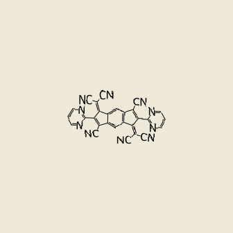 N#CC(C#N)=C1C(c2ncccn2)=C(C#N)c2cc3c(cc21)C(C#N)=C(c1ncccn1)C3=C(C#N)C#N